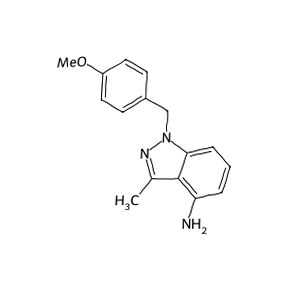 COc1ccc(Cn2nc(C)c3c(N)cccc32)cc1